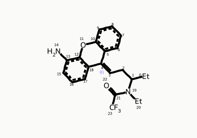 CCC(C/C=C1\c2ccccc2Oc2c(N)cccc21)N(CC)C(=O)C(F)(F)F